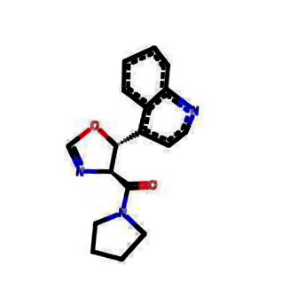 O=C([C@H]1N=CO[C@@H]1c1ccnc2ccccc12)N1CCCC1